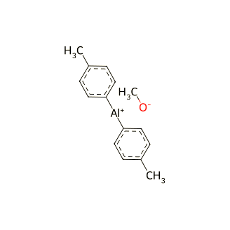 C[O-].Cc1cc[c]([Al+][c]2ccc(C)cc2)cc1